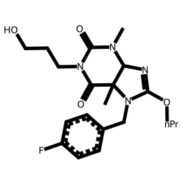 CCCOC1=NC2N(C)C(=O)N(CCCO)C(=O)C2(C)N1Cc1ccc(F)cc1